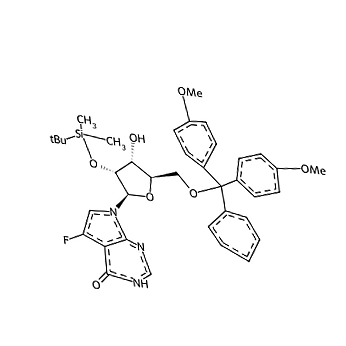 COc1ccc(C(OC[C@H]2O[C@@H](n3cc(F)c4c(=O)[nH]cnc43)[C@H](O[Si](C)(C)C(C)(C)C)[C@@H]2O)(c2ccccc2)c2ccc(OC)cc2)cc1